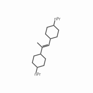 CCCC1CCC(/C=C(\C)C2CCC(CCC)CC2)CC1